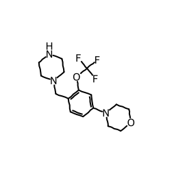 FC(F)(F)Oc1cc(N2CCOCC2)ccc1CN1CCNCC1